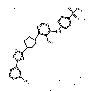 CS(=O)(=O)c1ccc(Nc2ncnc(N3CCC(c4nc(-c5cccc(C(F)(F)F)c5)no4)CC3)c2[N+](=O)[O-])cc1